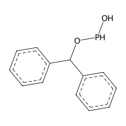 OPOC(c1ccccc1)c1ccccc1